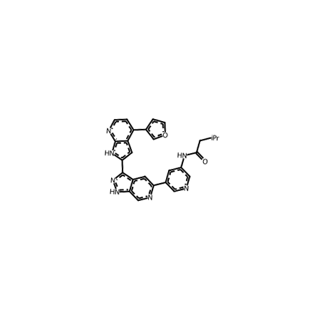 CC(C)CC(=O)Nc1cncc(-c2cc3c(-c4cc5c(-c6ccoc6)ccnc5[nH]4)n[nH]c3cn2)c1